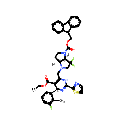 CCOC(=O)C1=C(CN2CC(F)(F)[C@H]3[C@@H]2CCN3C(=O)OCC2c3ccccc3-c3ccccc32)NC(c2nccs2)=N[C@H]1c1cccc(F)c1C